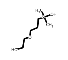 C[Si](C)(O)CCCOCCO